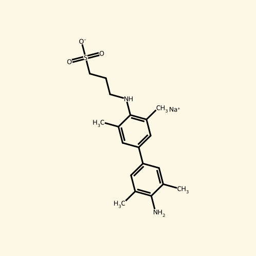 Cc1cc(-c2cc(C)c(NCCCS(=O)(=O)[O-])c(C)c2)cc(C)c1N.[Na+]